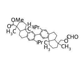 COC(=O)C1(C)CCCC2(C)c3cc(-c4cc5c(cc4C(C)C)CCC4C(C)(COC=O)CCCC54C)c(C(C)C)cc3CCC12